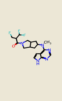 CN(c1ncnc2[nH]ccc12)C1CC2CN(C(=O)C(CF)C(F)F)CC2C1